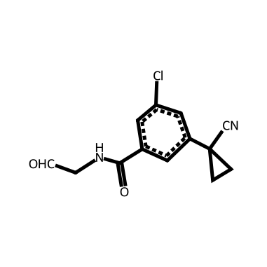 N#CC1(c2cc(Cl)cc(C(=O)NCC=O)c2)CC1